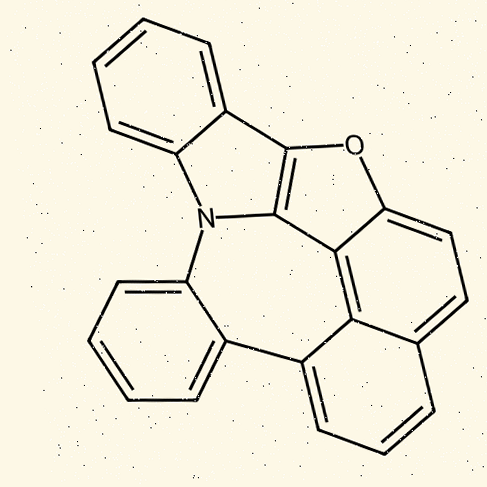 c1cc2ccc3oc4c5ccccc5n5c6ccccc6c(c1)c2c3c45